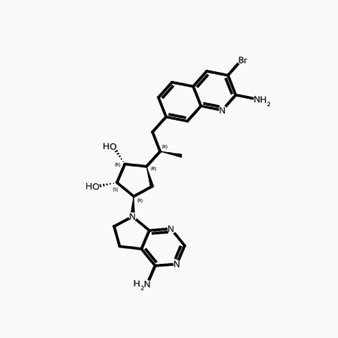 C[C@H](Cc1ccc2cc(Br)c(N)nc2c1)[C@H]1C[C@@H](N2CCc3c(N)ncnc32)[C@H](O)[C@@H]1O